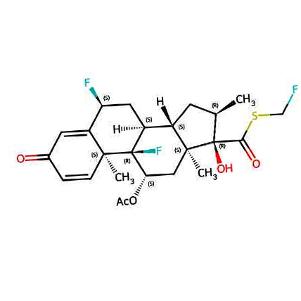 CC(=O)O[C@H]1C[C@@]2(C)[C@@H](C[C@@H](C)[C@]2(O)C(=O)SCF)[C@@H]2C[C@H](F)C3=CC(=O)C=C[C@]3(C)[C@@]12F